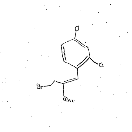 CC(C)(C)C(=Cc1ccc(Cl)cc1Cl)CBr